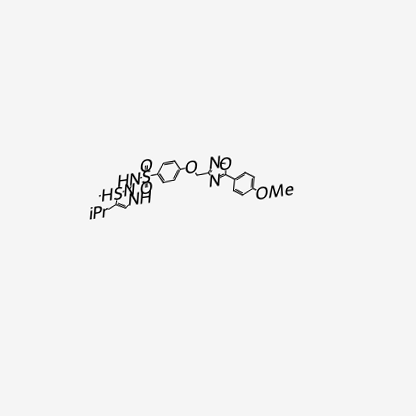 COc1ccc(-c2nc(COc3ccc(S(=O)(=O)NN4NC=C(C(C)C)[SH]4)cc3)no2)cc1